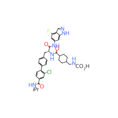 CC(C)NC(=O)c1ccc(-c2ccc(C[C@H](NC(=O)C3CCC(CNC(=O)O)CC3)C(=O)Nc3cc(F)c4cn[nH]c4c3)cc2)c(Cl)c1